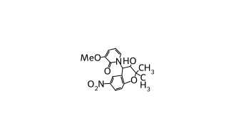 COc1cccn(C2c3cc([N+](=O)[O-])ccc3OC(C)(C)C2O)c1=O